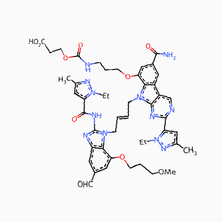 CCn1nc(C)cc1C(=O)Nc1nc2cc(C=O)cc(OCCCOC)c2n1C/C=C/Cn1c2nc(-c3cc(C)nn3CC)ncc2c2cc(C(N)=O)cc(OCCCNC(=O)OCCC(=O)O)c21